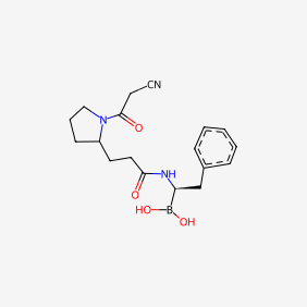 N#CCC(=O)N1CCCC1CCC(=O)N[C@@H](Cc1ccccc1)B(O)O